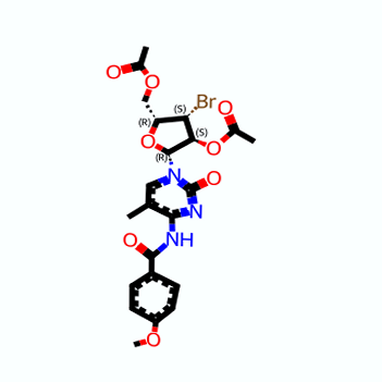 COc1ccc(C(=O)Nc2nc(=O)n([C@@H]3O[C@H](COC(C)=O)[C@H](Br)[C@H]3OC(C)=O)cc2C)cc1